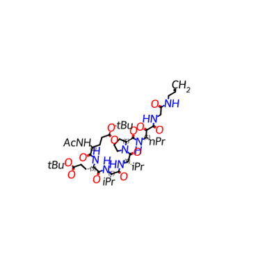 C=CCNC(=O)CNC(=O)C(=O)[C@H](CCC)NC(=O)[C@@H]1CCCN1C(=O)[C@@H](NC(=O)[C@@H](NC(=O)[C@H](CCC(=O)OC(C)(C)C)NC(=O)[C@H](CCC(=O)OC(C)(C)C)NC(C)=O)C(C)C)C(C)C